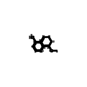 COC1=c2nccc(O)c2=CCC1